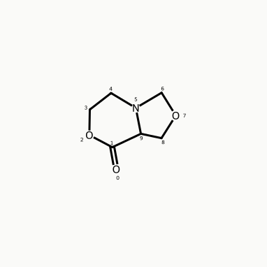 O=C1OCCN2COCC12